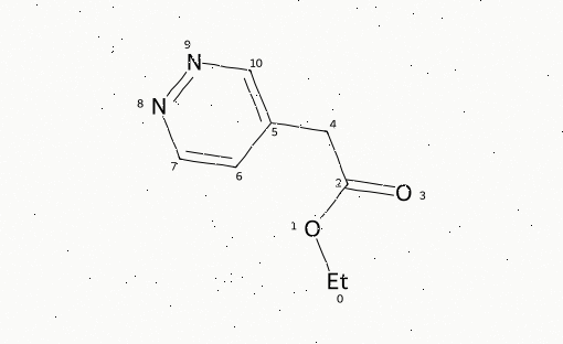 CCOC(=O)Cc1ccnnc1